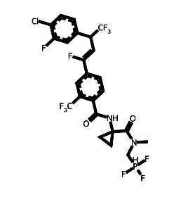 CN(C[PH](F)(F)F)C(=O)C1(NC(=O)c2ccc(/C(F)=C/C(c3ccc(Cl)c(F)c3)C(F)(F)F)cc2C(F)(F)F)CC1